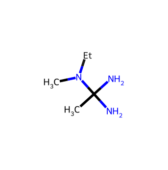 CCN(C)C(C)(N)N